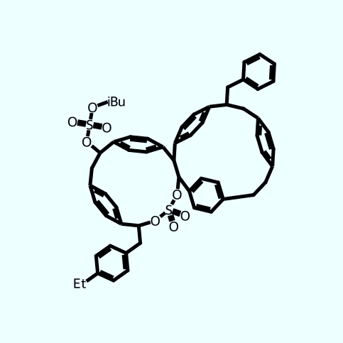 CCc1ccc(CC2OS(=O)(=O)OC3c4ccc(cc4)CCc4ccc(cc4)CC(Cc4ccccc4)c4ccc(cc4)C3c3ccc(cc3)C(OS(=O)(=O)OC(C)CC)Cc3ccc2cc3)cc1